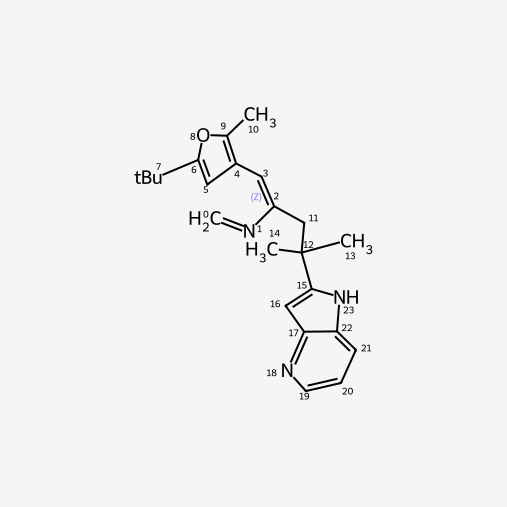 C=N/C(=C\c1cc(C(C)(C)C)oc1C)CC(C)(C)c1cc2ncccc2[nH]1